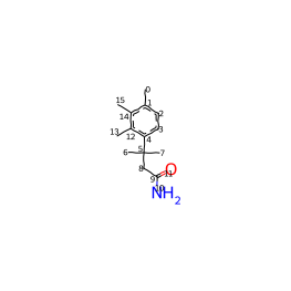 Cc1ccc(C(C)(C)CC(N)=O)c(C)c1C